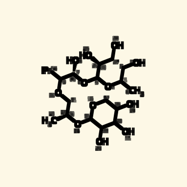 CC(CO)OC(O[C@@H](O)C(OC[C@H](C)OC1OCC(O)C(O)C1O)C(C)C)[C@@H](O)CO